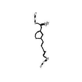 CCCC(N=C=O)C1CCC(CCCCN=C=O)C1